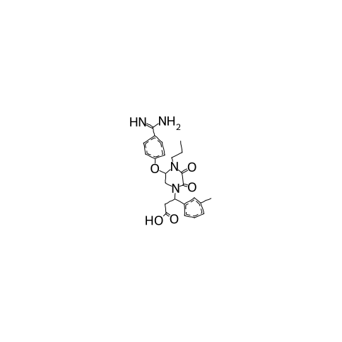 CCCN1C(=O)C(=O)N(C(CC(=O)O)c2cccc(C)c2)CC1Oc1ccc(C(=N)N)cc1